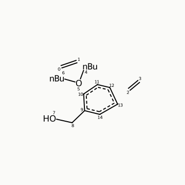 C=C.C=C.CCCCOCCCC.OCc1ccccc1